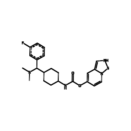 CN(C)C(c1cccc(F)c1)C1CCC(NC(=O)OC2=CC3=CNSN3C=C2)CC1